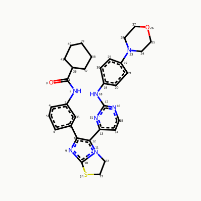 O=C(Nc1cccc(-c2nc3n(c2-c2ccnc(Nc4ccc(N5CCOCC5)cc4)n2)CCS3)c1)C1CCCCC1